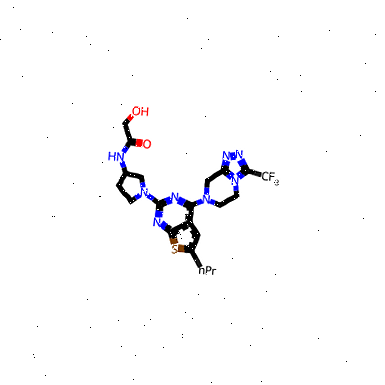 CCCc1cc2c(N3CCn4c(nnc4C(F)(F)F)C3)nc(N3CCC(NC(=O)CO)C3)nc2s1